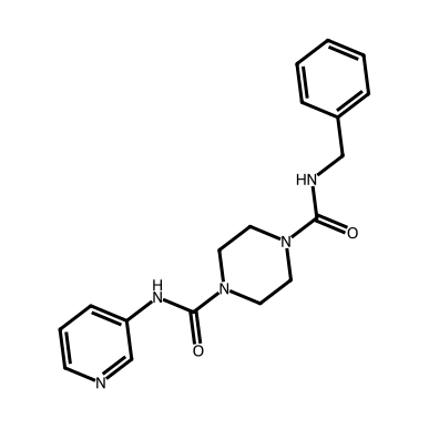 O=C(NCc1ccccc1)N1CCN(C(=O)Nc2cccnc2)CC1